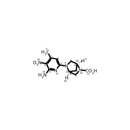 Cc1cc(N2C[C@@H]3C[C@H]2CN3C(=O)O)nc(N)c1[N+](=O)[O-]